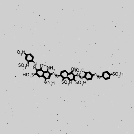 Nc1c(N=Nc2ccc3c(O)c(N=Nc4ccc(N=Nc5ccc(S(=O)(=O)O)cc5)cc4C(=O)O)c(S(=O)(=O)O)cc3c2S(=O)(=O)O)cc(S(=O)(=O)O)c2cc(S(=O)(=O)O)c(N=Nc3ccc([N+](=O)[O-])cc3S(=O)(=O)O)c(O)c12